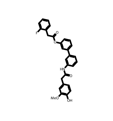 COc1cc(CC(=O)Nc2cccc(-c3cccc(OC(=O)Cc4ccccc4F)c3)c2)ccc1O